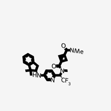 CNC(=O)C12CC(C(=O)N(C)[C@@H](c3ccc(N[C@@H]4Cc5ccccc5C4(C)C)cn3)C(F)(F)F)(C1)C2